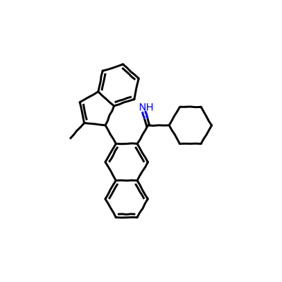 CC1=Cc2ccccc2C1c1cc2ccccc2cc1C(=N)C1CCCCC1